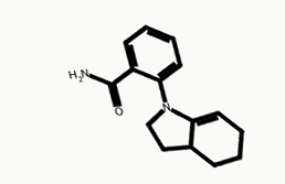 NC(=O)c1ccccc1N1CCC2CCCC=C21